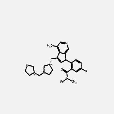 Cc1cncc2c1c(C[C@@H]1CCN(C[C@H]3CCOC3)C1)cn2-c1ccc(F)cc1C(=O)N(C)C(C)C